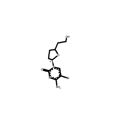 Nc1nc(=O)n([C@H]2CCC(CCO)O2)cc1Br